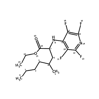 CCCCC(C)CC(Nc1c(F)c(F)nc(F)c1F)C(=O)OCC